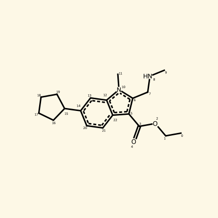 CCOC(=O)c1c(CNC)n(C)c2cc(C3CCCC3)ccc12